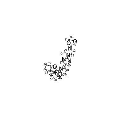 C[C@H]1CN(C(C=O)OC(C)(C)C)CCN1c1ncc(-c2ccc3nc4n(c3n2)C2(COC4)COc3ccccc32)cn1